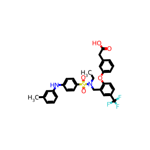 CCN(Cc1cc(C(F)(F)F)ccc1Oc1cccc(CC(=O)O)c1)S(=O)(=O)c1ccc(Nc2cccc(C)c2)cc1